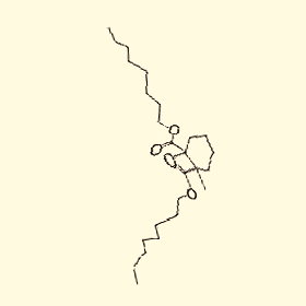 CCCCCCCCOC(=O)C1(C)CCCCC1(C)C(=O)OCCCCCCCC